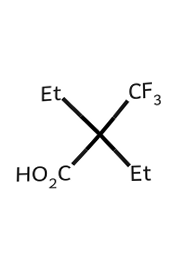 CCC(CC)(C(=O)O)C(F)(F)F